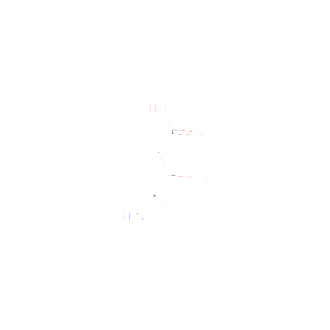 CC(C)(N)C(O)CC(=O)O